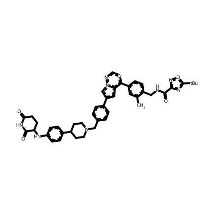 Cc1cc(-c2ncnn3cc(-c4ccc(CN5CCC(c6ccc(NC7CCC(=O)NC7=O)cc6)CC5)cc4)cc23)ccc1CNC(=O)c1noc(C(C)(C)C)n1